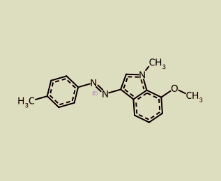 COc1cccc2c(/N=N/c3ccc(C)cc3)cn(C)c12